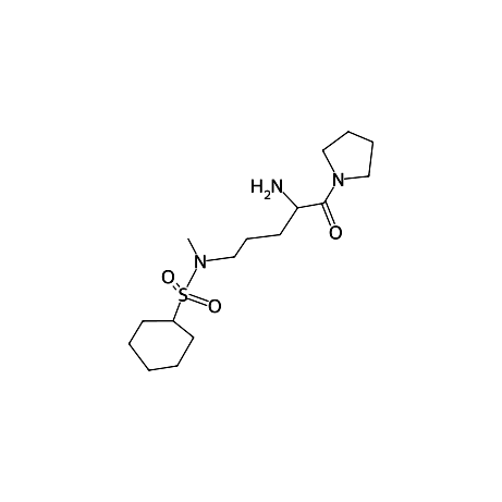 CN(CCCC(N)C(=O)N1CCCC1)S(=O)(=O)C1CCCCC1